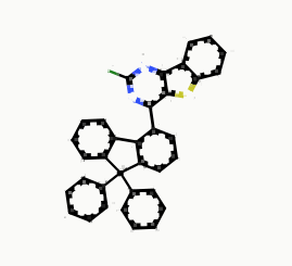 Clc1nc(-c2cccc3c2-c2ccccc2C3(c2ccccc2)c2ccccc2)c2sc3ccccc3c2n1